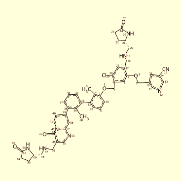 Cc1c(OCc2cc(OCc3cncc(C#N)c3)c(CNC[C@@H]3CCC(=O)N3)cc2Cl)cccc1-c1cccc(-c2ccn3c(=O)c(CNC[C@@H]4CCC(=O)N4)cnc3c2)c1C